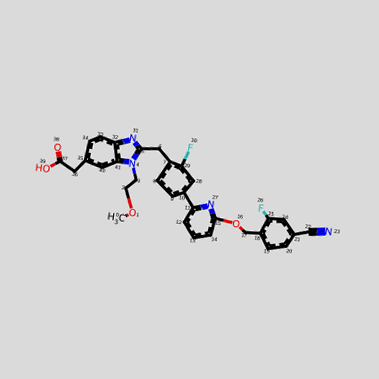 COCCn1c(Cc2ccc(-c3cccc(OCc4ccc(C#N)cc4F)n3)cc2F)nc2ccc(CC(=O)O)cc21